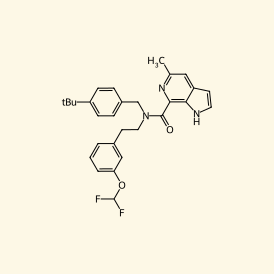 Cc1cc2cc[nH]c2c(C(=O)N(CCc2cccc(OC(F)F)c2)Cc2ccc(C(C)(C)C)cc2)n1